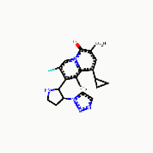 Cc1c(C2NCCC2n2ccnn2)c(F)cn2c(=O)c(C(=O)O)cc(C3CC3)c12